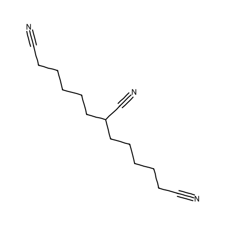 N#CCCCCCC(C#N)CCCCCC#N